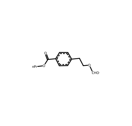 CCCOC(=O)c1ccc(CCO[C]=O)cc1